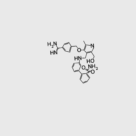 Cc1ncc(CO)c(CNc2cccc(-c3ccccc3S(N)(=O)=O)c2)c1OCc1ccc(C(=N)N)cc1